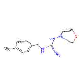 CC(C)(C)c1ccc(CNC(=N)NN2CCOCC2)cc1